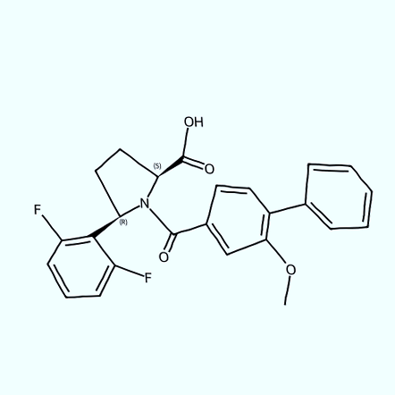 COc1cc(C(=O)N2[C@@H](c3c(F)cccc3F)CC[C@H]2C(=O)O)ccc1-c1ccccc1